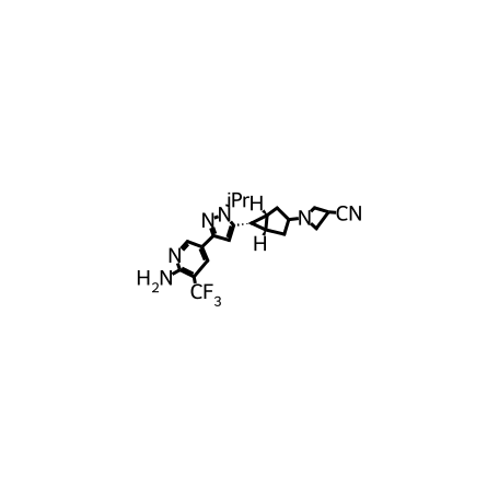 CC(C)n1nc(-c2cnc(N)c(C(F)(F)F)c2)cc1[C@@H]1[C@@H]2CC(N3CC(C#N)C3)C[C@@H]21